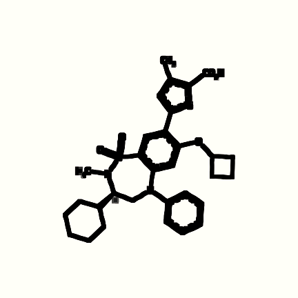 Cc1cc(-c2cc3c(cc2OC2CCC2)N(c2ccccc2)C[C@@H](C2CCCCC2)N(C)S3(=O)=O)sc1C(=O)O